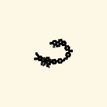 CC1(C)[C@H](NC(=O)c2ccc(C3CCN(CCOC4CCN(C(=O)C5CCN(c6ccc7nnn(C8CCC(=O)NC8=O)c(=O)c7c6)CC5)CC4)CC3)cc2)C(C)(C)[C@H]1Oc1ccc(C#N)c(Cl)c1